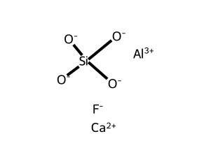 [Al+3].[Ca+2].[F-].[O-][Si]([O-])([O-])[O-]